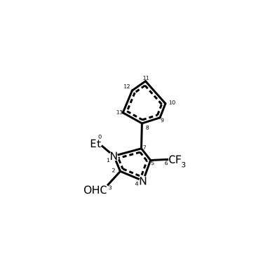 CCn1c(C=O)nc(C(F)(F)F)c1-c1ccccc1